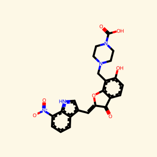 O=C1C(=Cc2c[nH]c3c([N+](=O)[O-])cccc23)Oc2c1ccc(O)c2CN1CCN(C(=O)O)CC1